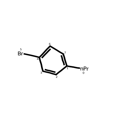 C[C]Cc1ccc(Br)cc1